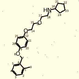 Cc1ccccc1COc1ccc(OCCOCCNC2CCCC2)cc1